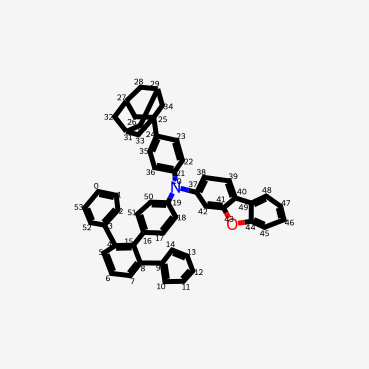 c1ccc(-c2cccc(-c3ccccc3)c2-c2ccc(N(c3ccc(C45CC6CC(CC(C6)C4)C5)cc3)c3ccc4c(c3)oc3ccccc34)cc2)cc1